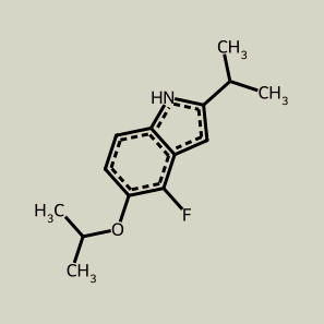 CC(C)Oc1ccc2[nH]c(C(C)C)cc2c1F